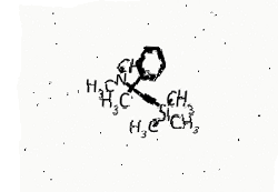 CN(C)C(C)(C#C[Si](C)(C)C)c1ccccc1